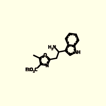 CCOC(=O)c1nc(CC(N)c2c[nH]c3ccccc23)oc1C